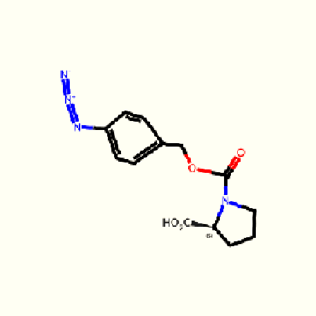 [N-]=[N+]=Nc1ccc(COC(=O)N2CCC[C@H]2C(=O)O)cc1